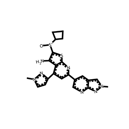 Cn1ccc(-c2cc(-c3cnc4nn(C)cc4c3)nc3sc([S+]([O-])C4CCC4)c(N)c23)n1